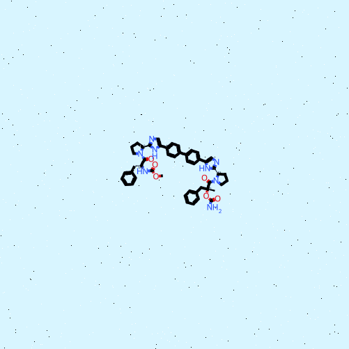 COC(=O)N[C@H](Cc1ccccc1)C(=O)N1CCC[C@H]1c1ncc(-c2ccc(-c3ccc(-c4cnc([C@@H]5CCCN5C(=O)[C@@](C)(Cc5ccccc5)OC(N)=O)[nH]4)cc3)cc2)[nH]1